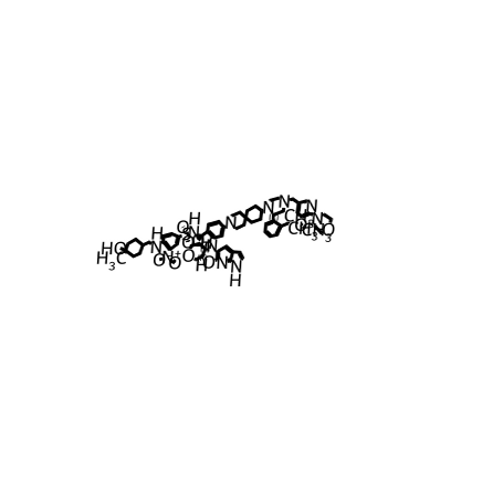 COc1cc(CN2CCN(C3CCC4(CC3)CCN(c3ccc(C(=O)NS(=O)(=O)c5ccc(NCC6CCC(C)(O)CC6)c([N+](=O)[O-])c5)c(N5c6cc7cc[nH]c7nc6O[C@H]6COCC[C@@H]65)c3)CC4)[C@H](c3ccccc3C(C)C)C2)cnc1N1CCOCC1